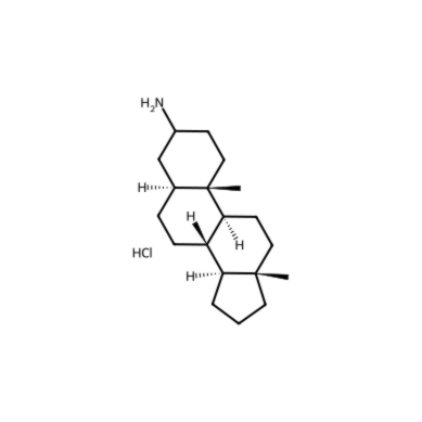 C[C@@]12CCC[C@H]1[C@@H]1CC[C@H]3CC(N)CC[C@]3(C)[C@H]1CC2.Cl